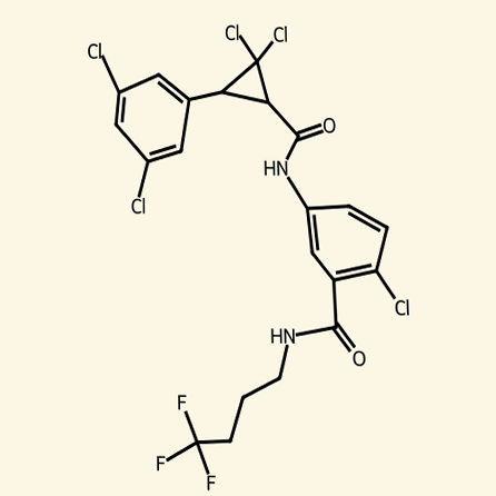 O=C(NCCCC(F)(F)F)c1cc(NC(=O)C2C(c3cc(Cl)cc(Cl)c3)C2(Cl)Cl)ccc1Cl